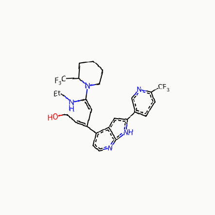 CCN/C(=C\C(=C/CO)c1ccnc2[nH]c(-c3ccc(C(F)(F)F)nc3)cc12)N1CCCCC1C(F)(F)F